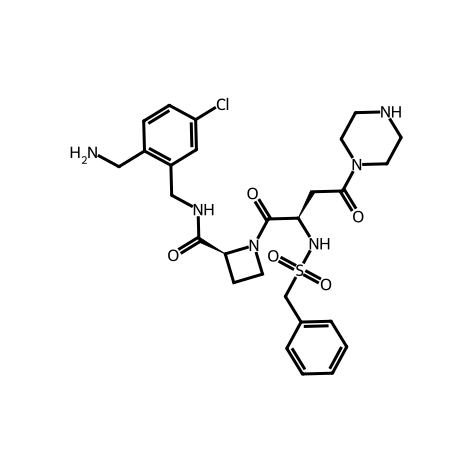 NCc1ccc(Cl)cc1CNC(=O)[C@@H]1CCN1C(=O)[C@@H](CC(=O)N1CCNCC1)NS(=O)(=O)Cc1ccccc1